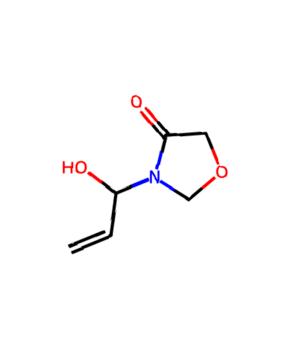 C=CC(O)N1COCC1=O